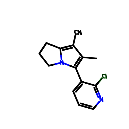 Cc1c(C#N)c2n(c1-c1cccnc1Cl)CCC2